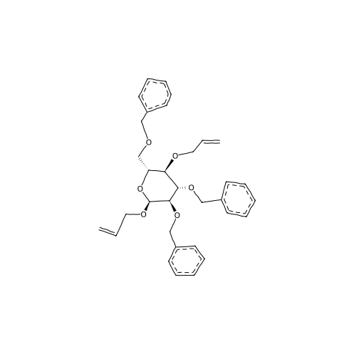 C=CCO[C@H]1O[C@H](COCc2ccccc2)[C@@H](OCC=C)[C@H](OCc2ccccc2)[C@H]1OCc1ccccc1